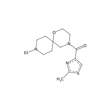 CCN1CCC2(CC1)CN(C(=O)c1csc(C)n1)CCO2